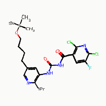 CC(C)c1ncc(CCCCO[Si](C)(C)C(C)(C)C)cc1NC(=O)NC(=O)c1cc(F)c(Cl)nc1Cl